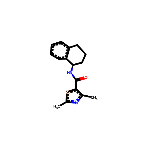 Cc1nc(C)c(C(=O)N[C@@H]2CCCc3ccccc32)s1